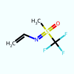 C=CN=S(C)(=O)C(F)(F)F